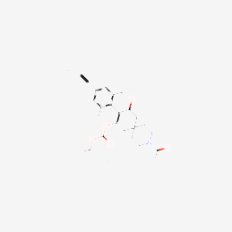 CC#Cc1cc(C)c(C2=C(OC(=O)OC(C)C)CC3(CCN(C(C)=O)CC3)CC2=O)c(C)c1